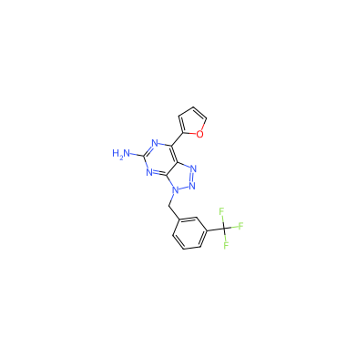 Nc1nc(-c2ccco2)c2nnn(Cc3cccc(C(F)(F)F)c3)c2n1